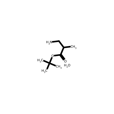 CC(CN)C(=O)OC(C)(C)C.O